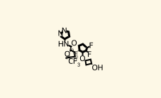 C[C@H]1[C@@H](c2ccc(F)c(F)c2O[C@H]2C[C@@H](O)C2)[C@H](C(=O)Nc2ccnnc2)O[C@@]1(C)C(F)(F)F